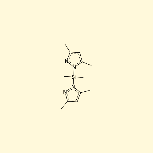 Cc1cc(C)n([Si](C)(C)n2nc(C)cc2C)n1